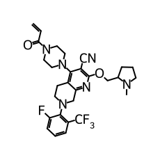 C=CC(=O)N1CCN(c2c(C#N)c(OCC3CCCN3C)nc3c2CCN(c2c(F)cccc2C(F)(F)F)C3)CC1